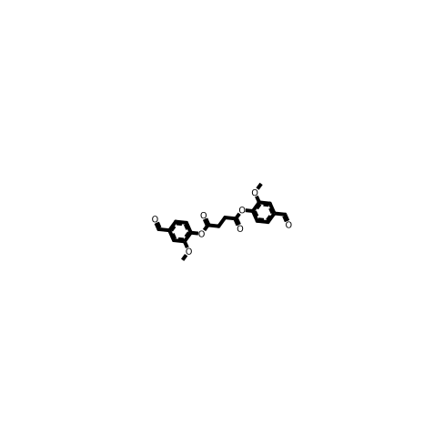 COc1cc(C=O)ccc1OC(=O)CCC(=O)Oc1ccc(C=O)cc1OC